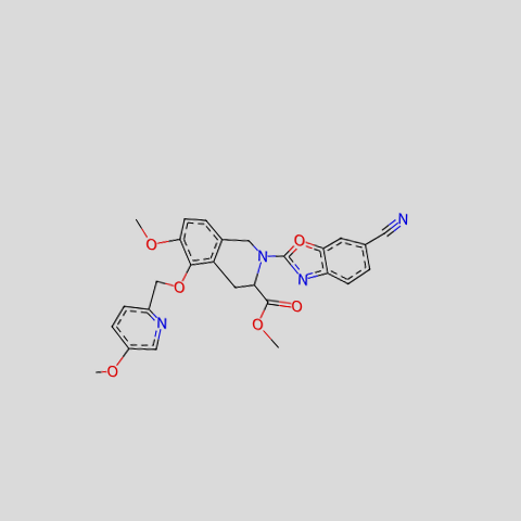 COC(=O)C1Cc2c(ccc(OC)c2OCc2ccc(OC)cn2)CN1c1nc2ccc(C#N)cc2o1